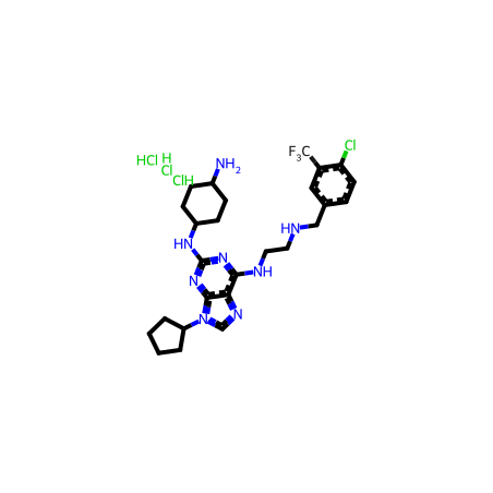 Cl.Cl.Cl.NC1CCC(Nc2nc(NCCNCc3ccc(Cl)c(C(F)(F)F)c3)c3ncn(C4CCCC4)c3n2)CC1